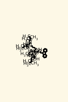 CC(C)CN(NC(=O)C(CCCNC(=NC(=O)OC(C)(C)C)NC(=O)OC(C)(C)C)NC(=O)OCC1c2ccccc2-c2ccccc21)C(=O)NC(COC(C)(C)C)C(=O)O